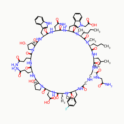 CCCC[C@H]1C(=O)N(C)[C@@H](CCCC)C(=O)N[C@@H](CC(C)C)C(=O)N[C@H](C(=O)NCC(N)=O)CNCC(=O)N[C@@H](Cc2ccc(F)cc2)C(=O)N(C)[C@@H](C)C(=O)N[C@@H](CC(=O)O)C(=O)N2CCC[C@H]2C(O)N[C@@H](CCC(N)=O)C(=O)NC(CCC(N)=O)C(=O)N2C[C@H](O)C[C@H]2C(=O)N[C@@H](Cc2c[nH]c3ccccc23)C(=O)N[C@@H](CC(N)=O)C(=O)N[C@@H](Cc2cn(CC(=O)O)c3ccccc23)C(=O)N1C